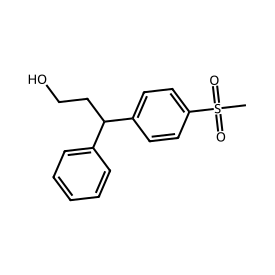 CS(=O)(=O)c1ccc(C(CCO)c2ccccc2)cc1